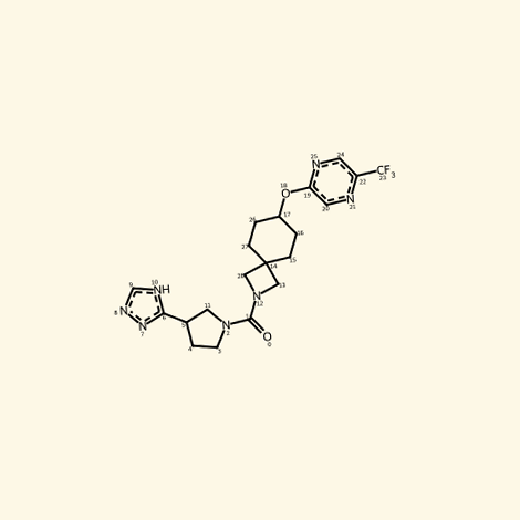 O=C(N1CCC(c2nnc[nH]2)C1)N1CC2(CCC(Oc3cnc(C(F)(F)F)cn3)CC2)C1